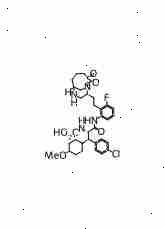 COC1CCC([C@H](c2ccc(Cl)cc2)[C@H](NC(=O)O)C(=O)Nc2cccc(F)c2CC[C@H]2CN[C@@H]3CCCS(=O)(=O)N2C3)CC1